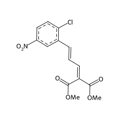 COC(=O)C(=CC=Cc1cc([N+](=O)[O-])ccc1Cl)C(=O)OC